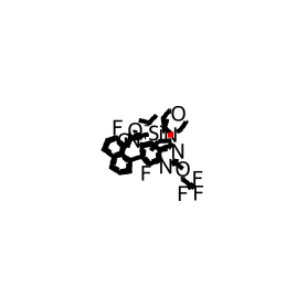 CC(C)[Si](C#Cc1c(F)ccc2cccc(-c3c([N+](=O)[O-])cc4c(N5CCCOCC5)nc(OCC(F)(F)F)nc4c3F)c12)(C(C)C)C(C)C